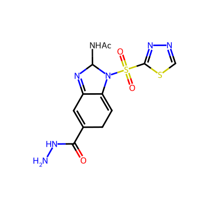 CC(=O)NC1N=C2C=C(C(=O)NN)CC=C2N1S(=O)(=O)c1nncs1